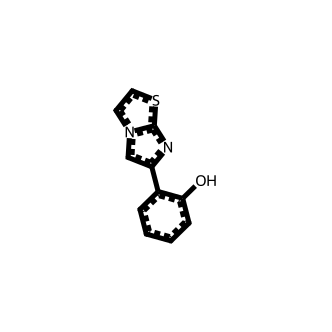 Oc1ccccc1-c1cn2ccsc2n1